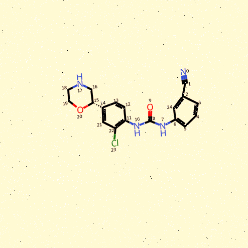 N#Cc1cccc(NC(=O)Nc2ccc([C@H]3CNCCO3)cc2Cl)c1